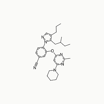 CCCc1cnn(-c2ccc(C#N)cc2Oc2cc(N3CCCCC3)nc(C)n2)c1CC(C)CC